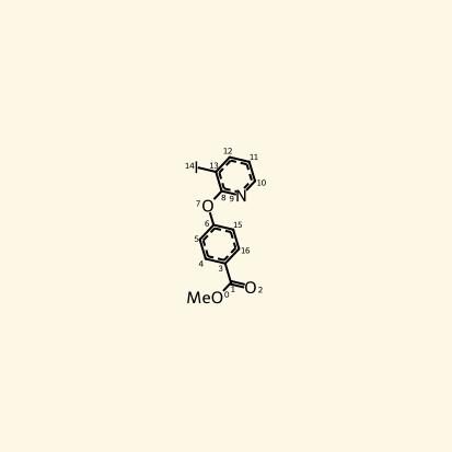 COC(=O)c1ccc(Oc2ncccc2I)cc1